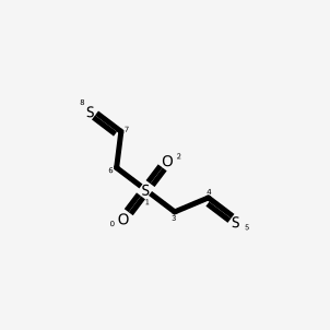 O=S(=O)(CC=S)CC=S